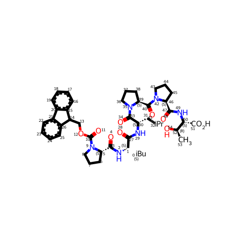 CC[C@H](C)[C@H](NC(=O)[C@@H]1CCCN1C(=O)OCC1c2ccccc2-c2ccccc21)C(=O)N[C@@H](CC(C)C)C(=O)N1CCC[C@H]1C(=O)N1CCC[C@H]1C(=O)N[C@H](C(=O)O)[C@@H](C)O